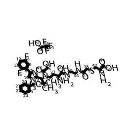 CC(C)(C)[C@H](c1nc(-c2cc(F)ccc2F)cn1Cc1ccccc1)N(CC[C@H](N)C(=O)NCCNC(=O)CSC[C@H](N)C(=O)O)C(=O)CO.O=C(O)C(F)(F)F